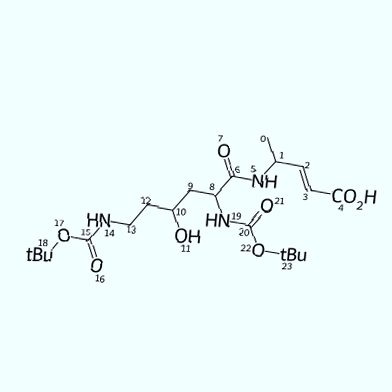 CC(/C=C/C(=O)O)NC(=O)C(CC(O)CCNC(=O)OC(C)(C)C)NC(=O)OC(C)(C)C